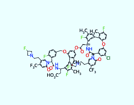 Cc1cc2cc(c1F)C(CC(=O)O)NC(=O)C(n1cc(CCN3CC(F)C3)c(C(F)(F)F)cc1=O)c1cc(ccc1F)COc1cc(OC(=O)C[C@@H]3NC(=O)[C@H](n4cc(CCN5CC(F)C5)c(C(F)(F)F)cc4=O)c4cc(Cl)cc(c4)Oc4ccc(F)c(C)c4-c4cc(C)c(F)c3c4)cc(C)c1-2